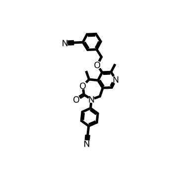 Cc1ncc2c(c1OCc1cccc(C#N)c1)C(C)OC(=O)N(c1ccc(C#N)cc1)C2